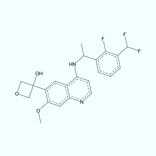 COc1cc2nccc(NC(C)c3cccc(C(F)F)c3F)c2cc1C1(O)COC1